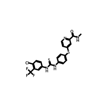 CNC(=O)c1cc(Sc2ccc(NC(=S)Nc3ccc(Cl)c(C(F)(F)F)c3)cc2)ccn1